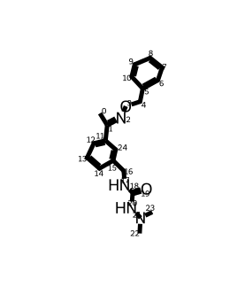 C/C(=N\OCc1ccccc1)c1cccc(CNC(=O)NN(C)C)c1